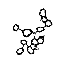 c1ccc(-c2ccc(N(c3ccc(-c4cccc5c4oc4ccccc45)cc3)c3cc4c(oc5cccc(-c6ccccc6-c6ccccc6)c54)c4ccccc34)cc2)cc1